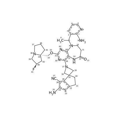 CC(c1cccnc1N)N1CCC(=O)Nc2c(N3CC4(CCc5sc(N)c(C#N)c54)C3)nc(OC[C@@]34CCCN3C[C@H](F)C4)nc21